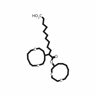 O=C(O)CCCCCCCCCC(C(=O)OC1CCCCCCCCCCC1)C1CCCCCCCCCCC1